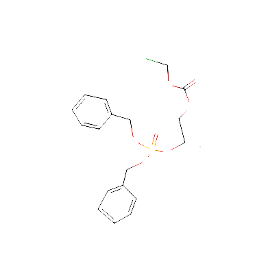 CC(C)[C@@H](COC(=O)OCCl)OP(=O)(OCc1ccccc1)OCc1ccccc1